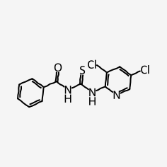 O=C(NC(=S)Nc1ncc(Cl)cc1Cl)c1ccccc1